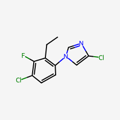 CCc1c(-n2cnc(Cl)c2)ccc(Cl)c1F